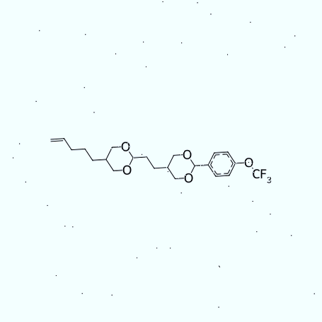 C=CCCCC1COC(CCC2COC(c3ccc(OC(F)(F)F)cc3)OC2)OC1